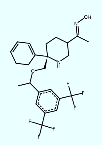 C/C(=N\O)C1CC[C@@](COC(C)c2cc(C(F)(F)F)cc(C(F)(F)F)c2)(C2=CC=CCC2)NC1